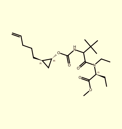 C=CCCC[C@@H]1C[C@H]1OC(=O)NC(C(=O)N(CC)[C@@H](CC)C(=O)OC)C(C)(C)C